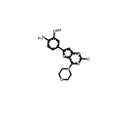 COc1cc(-c2cc3nc(Cl)nc(N4CCOCC4)c3s2)ccc1N